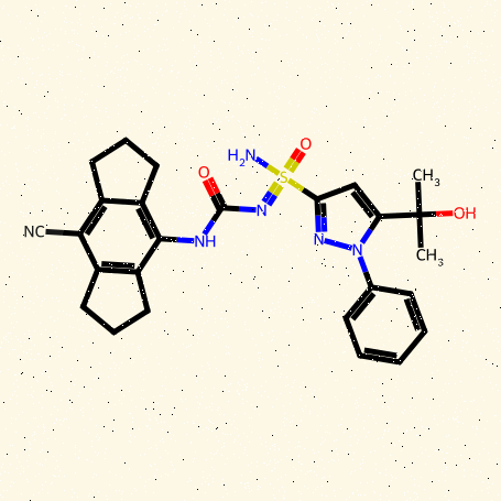 CC(C)(O)c1cc(S(N)(=O)=NC(=O)Nc2c3c(c(C#N)c4c2CCC4)CCC3)nn1-c1ccccc1